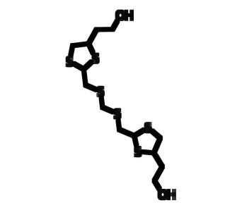 OCCC1CSC(CSCSCC2SCC(CCO)S2)S1